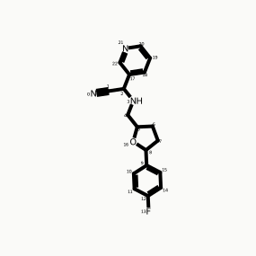 N#CC(NCC1CCC(c2ccc(F)cc2)O1)c1cccnc1